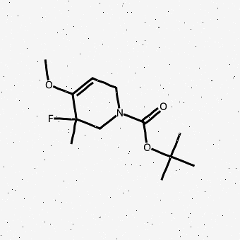 COC1=CCN(C(=O)OC(C)(C)C)CC1(C)F